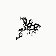 N#Cc1c(N)sc2c(F)ccc(-c3c4c(c5c(N6C7CCC6CNC7)nc(OCC6(CN7CCC(=CF)CC7)CC6)nc5c3F)COC4)c12